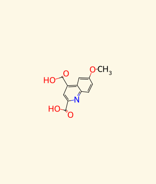 COc1ccc2nc(C(=O)O)cc(C(=O)O)c2c1